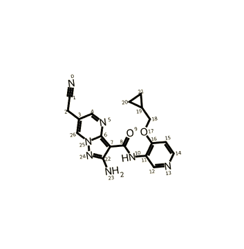 N#CCc1cnc2c(C(=O)Nc3cnccc3OCC3CC3)c(N)nn2c1